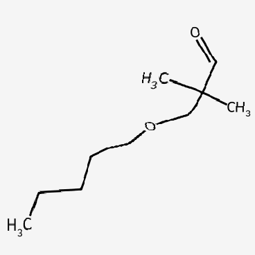 CCCCCOCC(C)(C)C=O